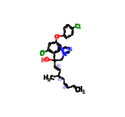 C=C\C=C/C=C(C)/C=C/C(O)(Cn1cncn1)c1ccc(Oc2ccc(Cl)cc2)cc1Cl